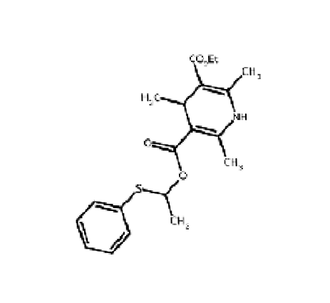 CCOC(=O)C1=C(C)NC(C)=C(C(=O)OC(C)Sc2ccccc2)C1C